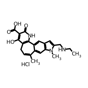 CCNCc1cc2cc3c(cc2n1C)C(C)=CCc1c-3[nH]c(=O)c(C(=O)O)c1O.Cl